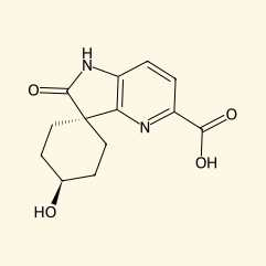 O=C(O)c1ccc2c(n1)[C@]1(CC[C@H](O)CC1)C(=O)N2